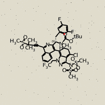 CC1CC(Cl)=c2c(N(S(C)(=O)=O)S(C)(=O)=O)nn(CC(F)(F)F)c2=C1c1c([C@H](Cc2cc(F)cc(F)c2)NC(=O)OC(C)(C)C)nc(C#CC(C)(C)S(C)(=O)=O)c2ccccc12